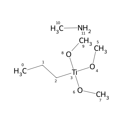 CC[CH2][Ti]([O]C)([O]C)[O]C.CN